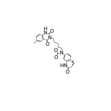 Cc1ccc2[nH]c(=O)n(CCCC3CN(c4ccc5c(c4)NC(=O)CS5)C(=O)O3)c(=O)c2c1